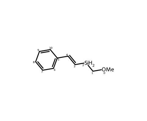 COC[SiH2]C=Cc1ccccc1